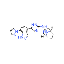 c1cnn(-c2ccc(-c3cnc(NC4C[C@H]5CCC[C@@H](C4)N5)nn3)c3cn[nH]c23)c1